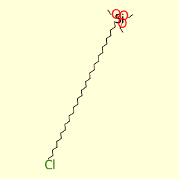 CCO[Si](CCCCCCCCCCCCCCCCCCCCCCCCCCCCCCCCCCl)(OCC)OCC